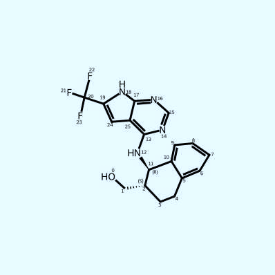 OC[C@H]1CCc2ccccc2[C@@H]1Nc1ncnc2[nH]c(C(F)(F)F)cc12